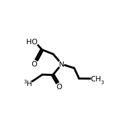 [3H]CC(=O)N(CCC)CC(=O)O